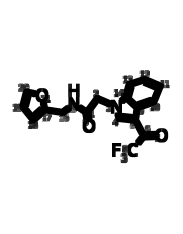 O=C(Cn1cc(C(=O)C(F)(F)F)c2ccccc21)NCc1ccco1